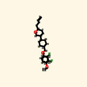 C=CCCC1CCC(C2CCC(COc3ccc(OCC)c(F)c3F)CC2)CO1